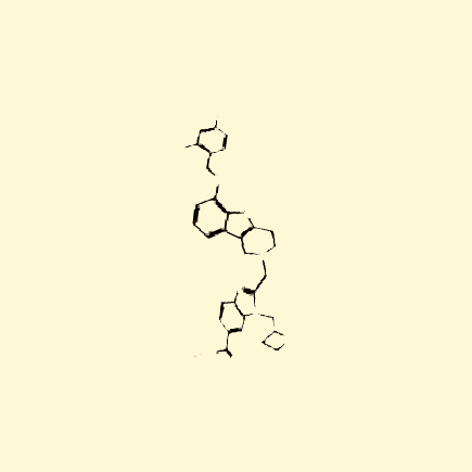 COC(=O)c1ccc2nc(CN3CCc4[nH]c5c(OCc6ccc(Cl)cc6F)cccc5c4C3)n(C[C@@H]3CCO3)c2c1